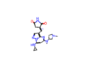 CN1CCC(N(C)c2cc(NC3CC3)n3ncc(/C=C4\CC(=O)NC4=O)c3n2)C1